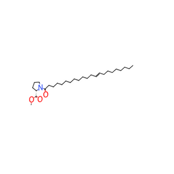 CCCCCCCCC=CCCCCCCCCCCCC(=O)N1CCC[C@H]1C(=O)OC